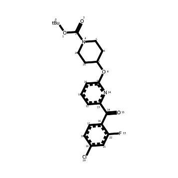 CC(C)(C)OC(=O)N1CCC(Oc2cccc(C(=O)c3ccc(Cl)cc3F)n2)CC1